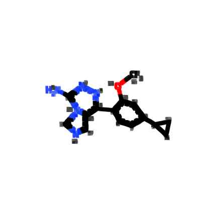 Nc1nnc(-c2ccc(C3CC3)cc2OC(F)(F)F)c2cncn12